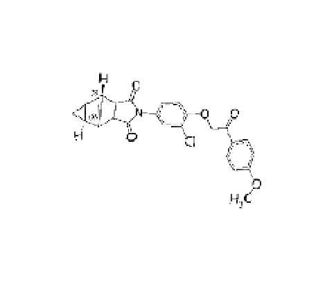 COc1ccc(C(=O)COc2ccc(N3C(=O)C4C(C3=O)[C@@H]3C=CC4[C@H]4CC34)cc2Cl)cc1